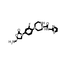 NC[C@H]1CN(c2ccc(N3CCNN(C(=O)Nc4nccs4)CC3)c(F)c2)C(=O)O1